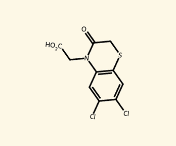 O=C(O)CN1C(=O)CSc2cc(Cl)c(Cl)cc21